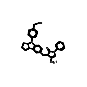 O=C(O)C1=NN(c2ccccc2)C(=O)/C1=C\c1ccc2c(c1)C1CCCC1N2c1ccc(CO)cc1